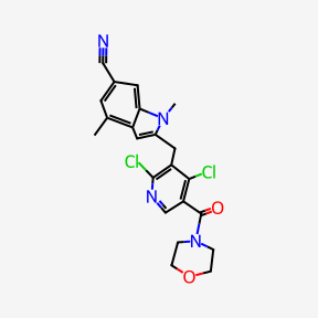 Cc1cc(C#N)cc2c1cc(Cc1c(Cl)ncc(C(=O)N3CCOCC3)c1Cl)n2C